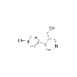 OCC1C[N]CCC1c1ccc(Cl)cc1